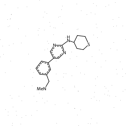 CNCc1cccc(-c2cnc(NC3CCSCC3)nc2)c1